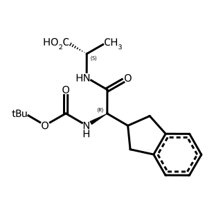 C[C@H](NC(=O)[C@H](NC(=O)OC(C)(C)C)C1Cc2ccccc2C1)C(=O)O